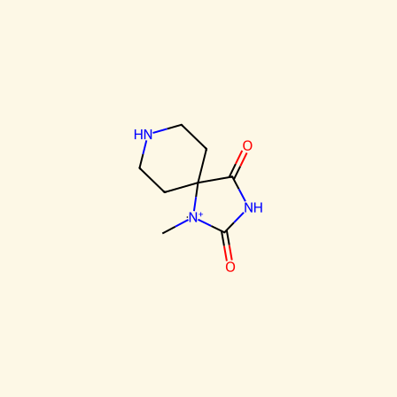 C[N+]1C(=O)NC(=O)C12CCNCC2